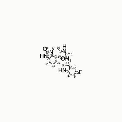 CC(CCc1c[nH]c2ccc(F)cc12)N[C@@H]1CCn2c(=O)[nH]c3cccc(c32)[C@H]1O